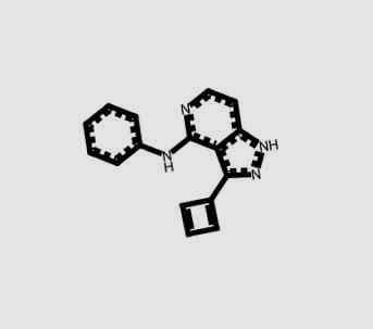 C1=CC(c2n[nH]c3ccnc(Nc4ccccc4)c23)=C1